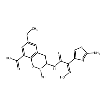 COc1cc2c(c(C(=O)O)c1)OB(O)C(NC(=O)C(=NO)c1csc(N)n1)C2